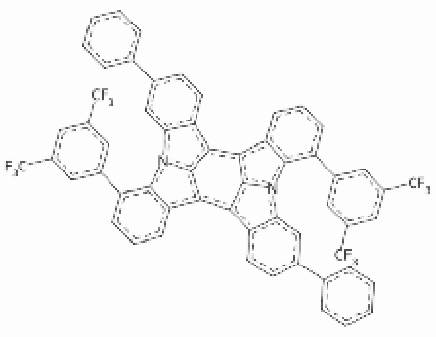 FC(F)(F)c1cc(-c2cccc3c4c5c6ccc(-c7ccccc7)cc6n6c7c(-c8cc(C(F)(F)F)cc(C(F)(F)F)c8)cccc7c(c7c8ccc(-c9ccccc9)cc8n(c23)c74)c56)cc(C(F)(F)F)c1